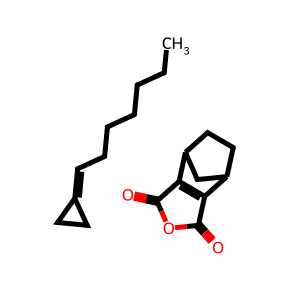 CCCCCCC=C1CC1.O=C1OC(=O)C2=C1C1CCC2C1